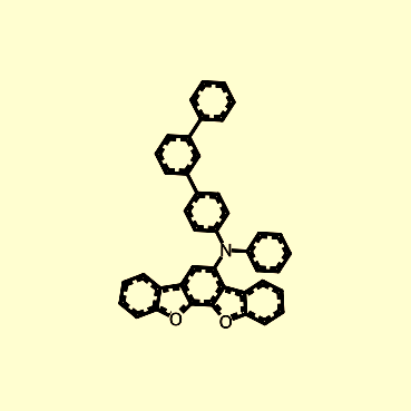 c1ccc(-c2cccc(-c3ccc(N(c4ccccc4)c4cc5c6ccccc6oc5c5oc6ccccc6c45)cc3)c2)cc1